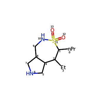 CCCC1C(CC)C2CNCC2CNS1(=O)=O